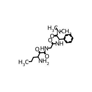 CCCC(N)C(=O)C(=O)NCC(=O)N[C@H](C(=O)N(C)C)c1ccccc1